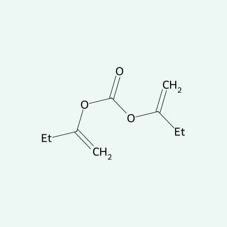 C=C(CC)OC(=O)OC(=C)CC